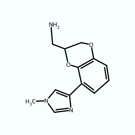 Cn1cnc(-c2cccc3c2OC(CN)CO3)c1